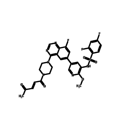 COc1ncc(-c2cc(F)c3ncnc(N4CCN(C(=O)/C=C/C(C)=O)CC4)c3c2)cc1NS(=O)(=O)c1ccc(F)cc1F